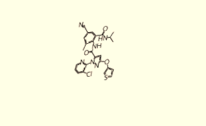 Cc1cc(C#N)cc(C(=O)NC(C)C)c1NC(=O)c1cc(Oc2ccsc2)nn1-c1ncccc1Cl